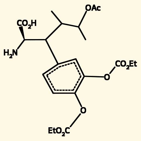 CCOC(=O)Oc1ccc(C(C(C)C(C)OC(C)=O)[C@@H](N)C(=O)O)cc1OC(=O)OCC